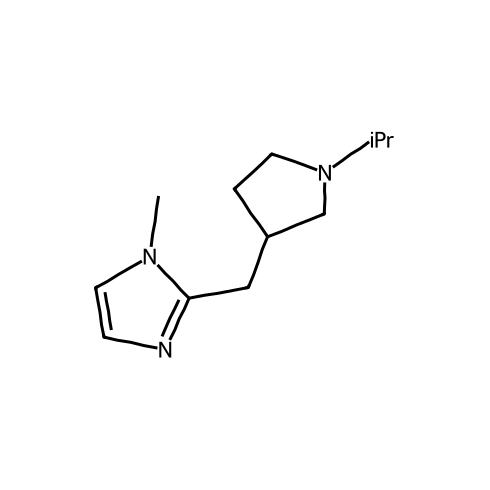 CC(C)N1CCC(Cc2nccn2C)C1